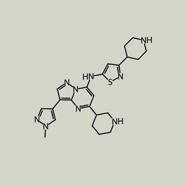 Cn1cc(-c2cnn3c(Nc4cc(C5CCNCC5)ns4)cc(C4CCCNC4)nc23)cn1